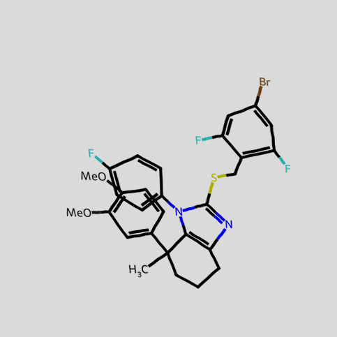 COc1ccc(C2(C)CCCc3nc(SCc4c(F)cc(Br)cc4F)n(-c4ccc(F)cc4)c32)cc1OC